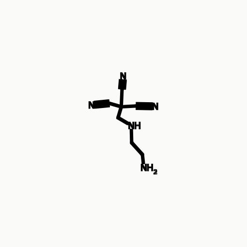 N#CC(C#N)(C#N)CNCCN